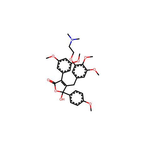 COc1ccc(C2(O)OC(=O)C(c3cc(OC)cc(OC)c3)=C2Cc2cc(OC)c(OC)c(OCCN(C)C)c2)cc1